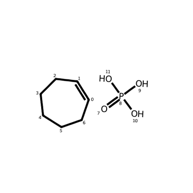 C1=CCCCCC1.O=P(O)(O)O